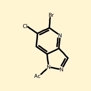 CC(=O)n1ncc2nc(Br)c(Cl)cc21